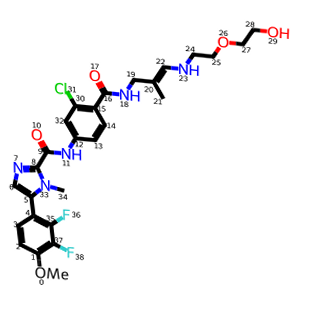 COc1ccc(-c2cnc(C(=O)Nc3ccc(C(=O)NC/C(C)=C/NCCOCCO)c(Cl)c3)n2C)c(F)c1F